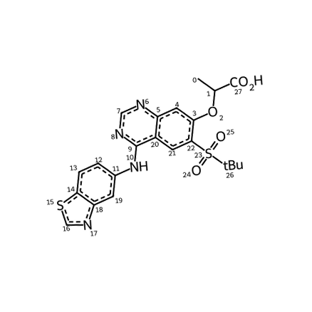 CC(Oc1cc2ncnc(Nc3ccc4scnc4c3)c2cc1S(=O)(=O)C(C)(C)C)C(=O)O